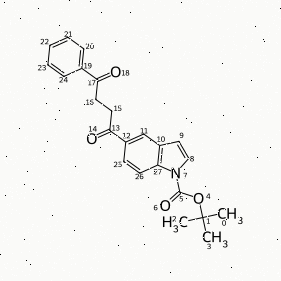 CC(C)(C)OC(=O)n1ccc2cc(C(=O)CCC(=O)c3ccccc3)ccc21